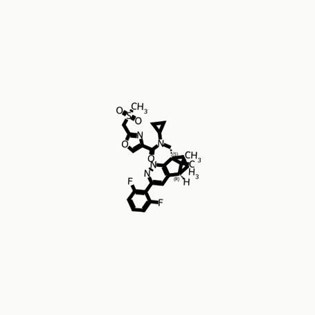 CC1(C)[C@H]2CC[C@]1(CN(C(=O)c1coc(CS(C)(=O)=O)n1)C1CC1)c1nnc(-c3c(F)cccc3F)cc12